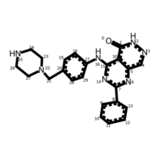 O=c1[nH]ncc2nc(-c3ccccc3)nc(Nc3ccc(CN4CCNCC4)cc3)c12